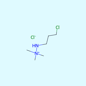 C[N+](C)(C)NCCCCl.[Cl-]